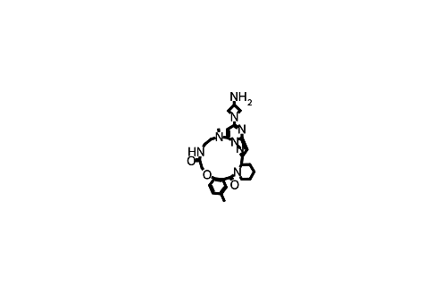 Cc1ccc2c(c1)C(=O)N1CCCCC1c1cc3nc(N4CC(N)C4)cc(n3n1)N(C)CCNC(=O)CO2